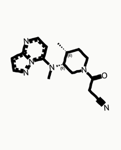 C[C@@H]1CCN(C(=O)CC#N)C[C@@H]1N(C)c1ccnc2ccnn12